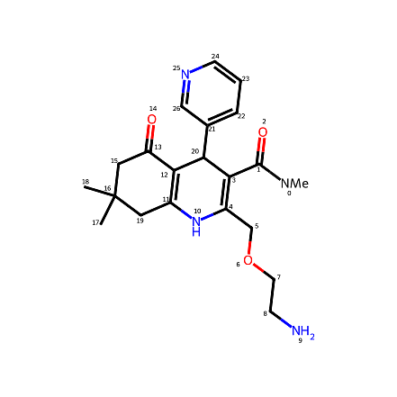 CNC(=O)C1=C(COCCN)NC2=C(C(=O)CC(C)(C)C2)C1c1cccnc1